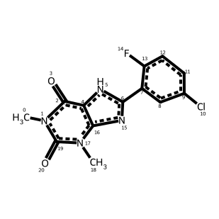 Cn1c(=O)c2[nH]c(-c3cc(Cl)ccc3F)nc2n(C)c1=O